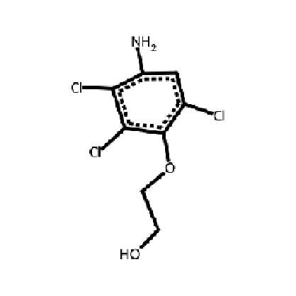 Nc1cc(Cl)c(OCCO)c(Cl)c1Cl